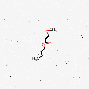 CCCCOC(=O)/C=C/OC